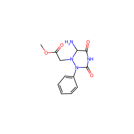 COC(=O)CN1C(N)C(=O)NC(=O)N1c1ccccc1